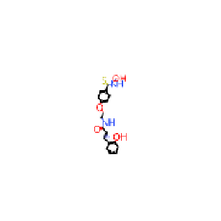 O=C(/C=C/c1ccccc1O)NCCOc1ccc(C(=S)NO)cc1